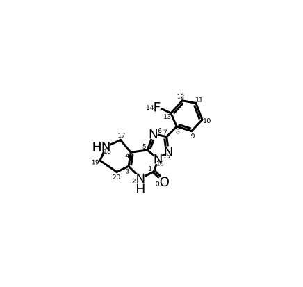 O=c1[nH]c2c(c3nc(-c4ccccc4F)nn13)CNCC2